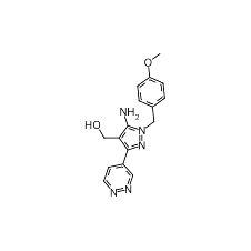 COc1ccc(Cn2nc(-c3ccnnc3)c(CO)c2N)cc1